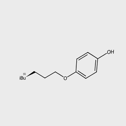 CC[C@H](C)CCCOc1ccc(O)cc1